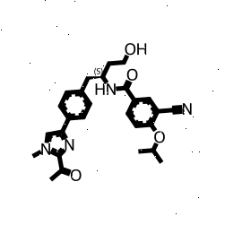 CC(=O)c1nc(-c2ccc(C[C@@H](CCO)NC(=O)c3ccc(OC(C)C)c(C#N)c3)cc2)cn1C